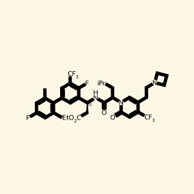 CCOC(=O)C[C@H](NC(=O)C(CC(C)C)n1cc(CCN2CCC2)c(C(F)(F)F)cc1=O)c1cc(-c2c(C)cc(F)cc2C)cc(C(F)(F)F)c1F